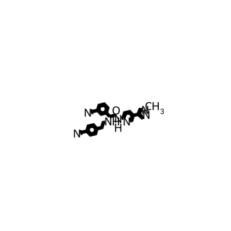 Cn1cc(-c2ccc(NC(=O)C(NCCc3ccc(C#N)cc3)c3cccc(C#N)c3)nc2)cn1